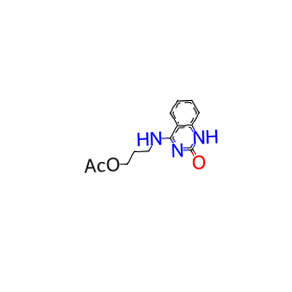 CC(=O)OCCCNc1nc(=O)[nH]c2ccccc12